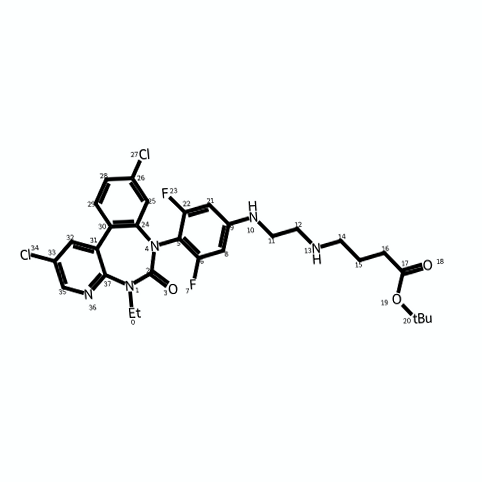 CCN1C(=O)N(c2c(F)cc(NCCNCCCC(=O)OC(C)(C)C)cc2F)c2cc(Cl)ccc2-c2cc(Cl)cnc21